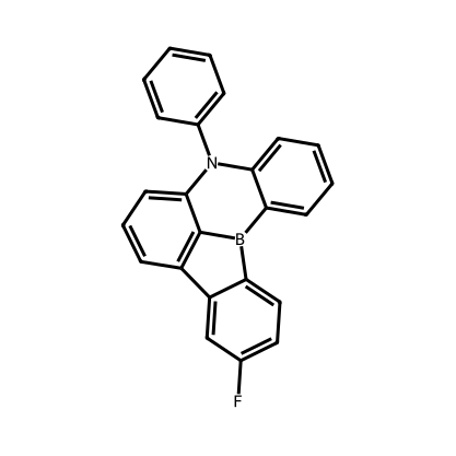 Fc1ccc2c(c1)-c1cccc3c1B2c1ccccc1N3c1ccccc1